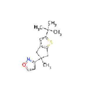 CC(C)(C)c1cc2c(s1)CC(C)(c1ccon1)C2